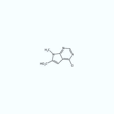 Cn1c(C(=O)O)cc2c(Cl)ncnc21